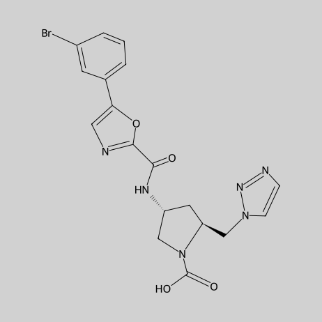 O=C(N[C@@H]1C[C@@H](Cn2ccnn2)N(C(=O)O)C1)c1ncc(-c2cccc(Br)c2)o1